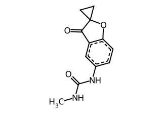 CNC(=O)Nc1ccc2c(c1)C(=O)C1(CC1)O2